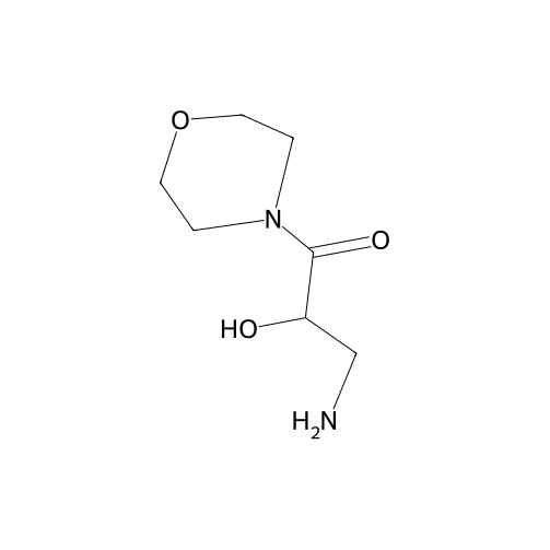 NCC(O)C(=O)N1CCOCC1